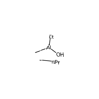 CCCC.C[CH2][Al]([CH3])[OH]